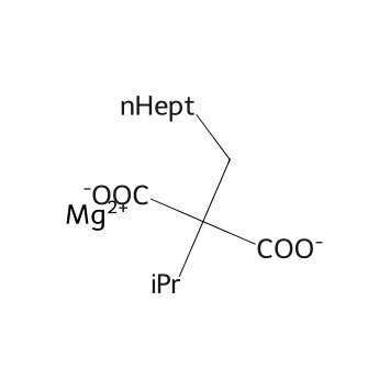 CCCCCCCCC(C(=O)[O-])(C(=O)[O-])C(C)C.[Mg+2]